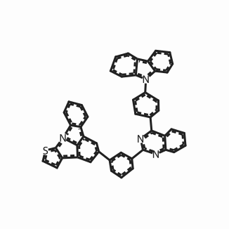 c1cc(-c2cc3c4ccccc4n4c5sccc5c(c2)c34)cc(-c2nc(-c3ccc(-n4c5ccccc5c5ccccc54)cc3)c3ccccc3n2)c1